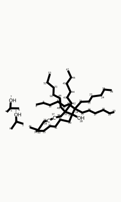 CC(C)O.CC(C)O.CCCCCCC(CCCCCC)(CCCCCC)C(O)(CCCCCC)C(CCCCCC)(CCCCCC)CCCCCC